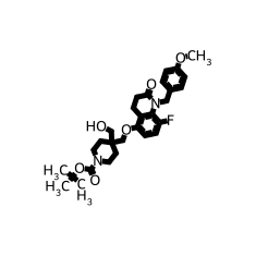 COc1ccc(CN2C(=O)CCc3c(OCC4(CO)CCN(C(=O)OC(C)(C)C)CC4)ccc(F)c32)cc1